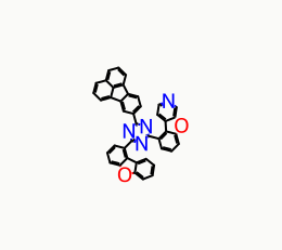 c1cc2c3c(cccc3c1)-c1cc(-c3nc(-c4cccc5oc6ccccc6c45)nc(-c4cccc5oc6cnccc6c45)n3)ccc1-2